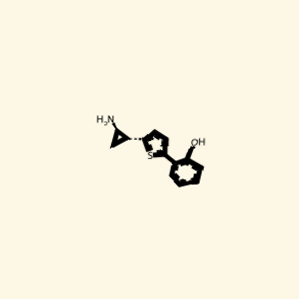 N[C@@H]1C[C@H]1c1ccc(-c2ccccc2O)s1